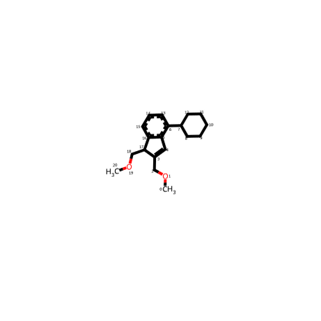 COCC1=Cc2c(C3CCCCC3)cccc2C1COC